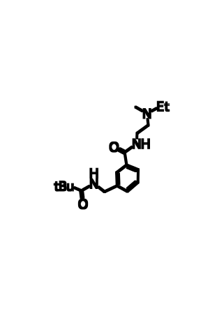 CCN(C)CCNC(=O)c1cccc(CNC(=O)C(C)(C)C)c1